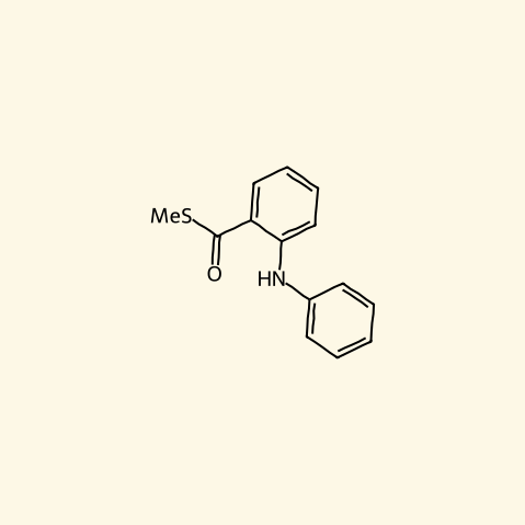 CSC(=O)c1ccccc1Nc1ccccc1